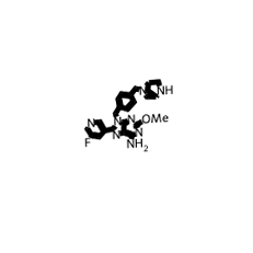 COc1nc(N)c2nc(-c3cncc(F)c3)n(Cc3ccc(CN4CC5CC4CN5)cc3)c2n1